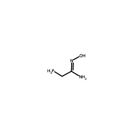 NC(CP)=NO